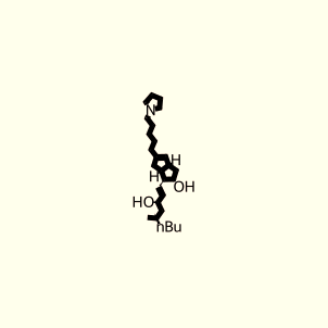 CCCC[C@@H](C)C[C@H](O)/C=C/[C@@H]1[C@H]2CC(CCCCCN3CCCC3)=C[C@H]2C[C@H]1O